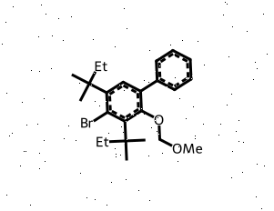 CCC(C)(C)c1cc(-c2ccccc2)c(OCOC)c(C(C)(C)CC)c1Br